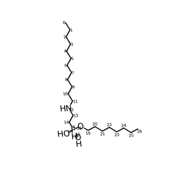 CCCCCCCCCCCCNCC[PH](O)(O)OCCCCCCCC